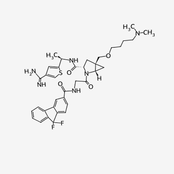 C[C@@H](NC(=O)[C@@H]1C[C@]2(COCCCCN(C)C)C[C@@H]2N1C(=O)CNC(=O)c1ccc2c(c1)-c1ccccc1C2(F)F)c1cc(C(=N)N)cs1